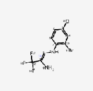 N/C(=C\Nc1ccc(Cl)cc1Br)C(F)(F)F